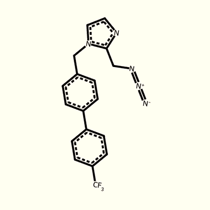 [N-]=[N+]=NCc1nccn1Cc1ccc(-c2ccc(C(F)(F)F)cc2)cc1